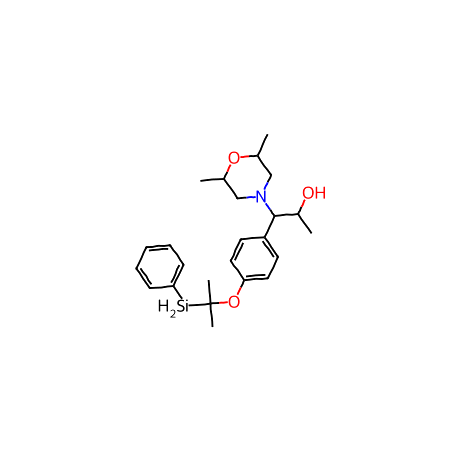 CC1CN(C(c2ccc(OC(C)(C)[SiH2]c3ccccc3)cc2)C(C)O)CC(C)O1